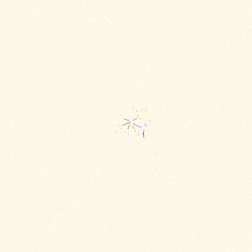 O=[N+]([O-])[Ir]([N+](=O)[O-])([N+](=O)[O-])([N+](=O)[O-])([N+](=O)[O-])[N+](=O)O.[NaH]